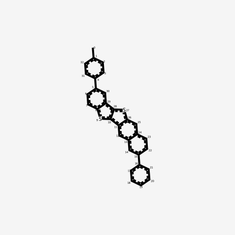 Cc1ccc(-c2ccc3sc4c5cc6cc(-c7ccccc7)ccc6cc5sc4c3c2)cc1